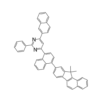 CC1(C)c2cc(-c3ccc(-c4cc(-c5ccc6ccccc6c5)nc(-c5ccccc5)n4)c4ccccc34)ccc2-c2ccc3ccccc3c21